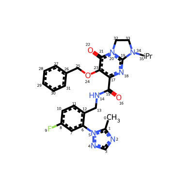 Cc1ncnn1-c1cc(F)ccc1CNC(=O)c1nc2n(c(=O)c1OCc1ccccc1)CCN2C(C)C